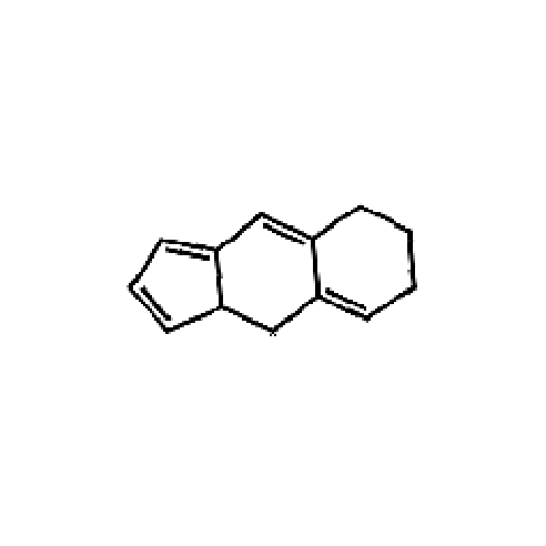 [C]1C2=CCCCC2=CC2=CC=CC12